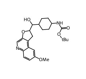 COc1ccc2ncc3c(c2c1)CC(C(O)C1CCC(NC(=O)OC(C)(C)C)CC1)O3